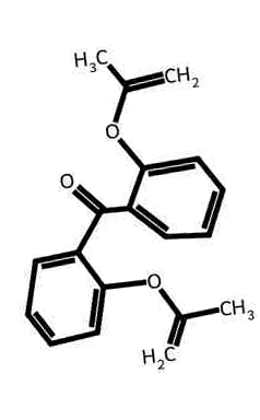 C=C(C)Oc1ccccc1C(=O)c1ccccc1OC(=C)C